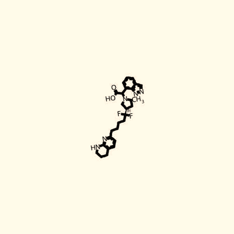 Cn1ncc2cccc(C(C(=O)O)N3CC[C@@H](C(F)(F)CCCCc4ccc5c(n4)NCCC5)C3)c21